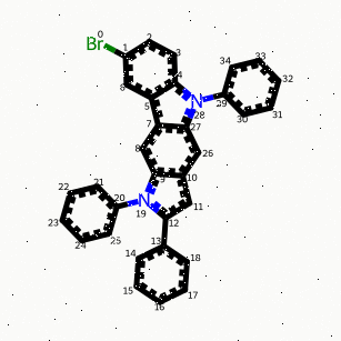 Brc1ccc2c(c1)c1cc3c(cc(-c4ccccc4)n3-c3ccccc3)cc1n2-c1ccccc1